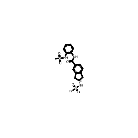 CC(C)S(=O)(=O)N[C@H]1Cc2ccc(C(=O)Nc3ccccc3NS(C)(=O)=O)cc2C1